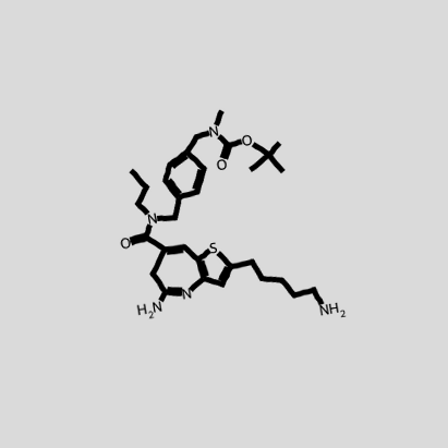 CCCN(Cc1ccc(CN(C)C(=O)OC(C)(C)C)cc1)C(=O)C1=Cc2sc(CCCCCN)cc2N=C(N)C1